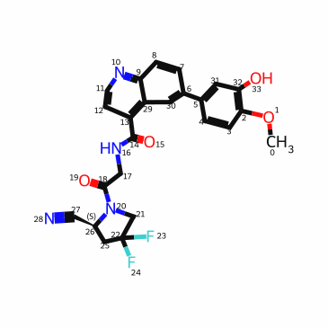 COc1ccc(-c2ccc3nccc(C(=O)NCC(=O)N4CC(F)(F)C[C@H]4C#N)c3c2)cc1O